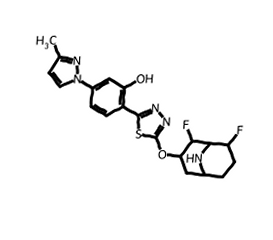 Cc1ccn(-c2ccc(-c3nnc(OC4CC5CCC(F)C(N5)C4F)s3)c(O)c2)n1